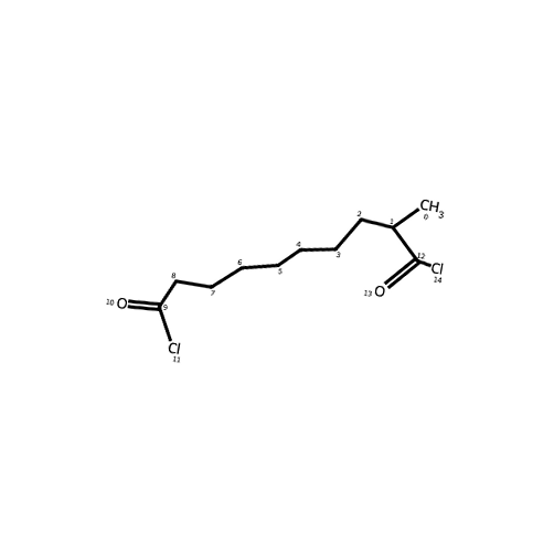 CC(CCCCCCCC(=O)Cl)C(=O)Cl